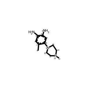 Cc1cc(N)c(N)cc1N1CCN(C)CC1